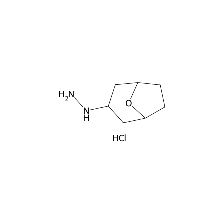 Cl.NNC1CC2CCC(C1)O2